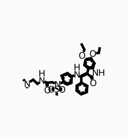 CCOc1cc2c(cc1OCC)C(=C(Nc1ccc(N(CC(=O)NCCN(C)C)S(C)(=O)=O)cc1)c1ccccc1)C(=O)N2